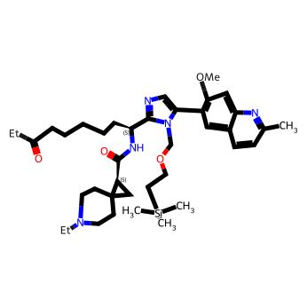 CCC(=O)CCCCC[C@H](NC(=O)[C@H]1CC12CCN(CC)CC2)c1ncc(-c2cc3ccc(C)nc3cc2OC)n1COCC[Si](C)(C)C